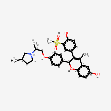 CC1=C(c2ccc(O)c(S(C)(=O)=O)c2)C(c2ccc(OCC(C)N3CCC(C)C3)cc2)Oc2ccc(O)cc21